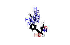 CCNc1nc2ccc(C#CC(C)(O)c3cc(C)on3)cc2n1-c1ncnc(N)n1